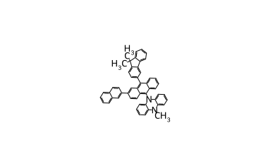 CN1c2ccccc2N(c2c3ccccc3c(-c3ccc4c(c3)-c3ccccc3C4(C)C)c3cc(-c4ccc5ccccc5c4)ccc23)c2ccccc21